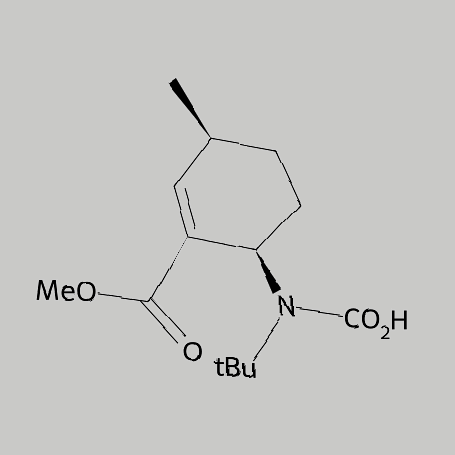 COC(=O)C1=C[C@@H](C)CC[C@H]1N(C(=O)O)C(C)(C)C